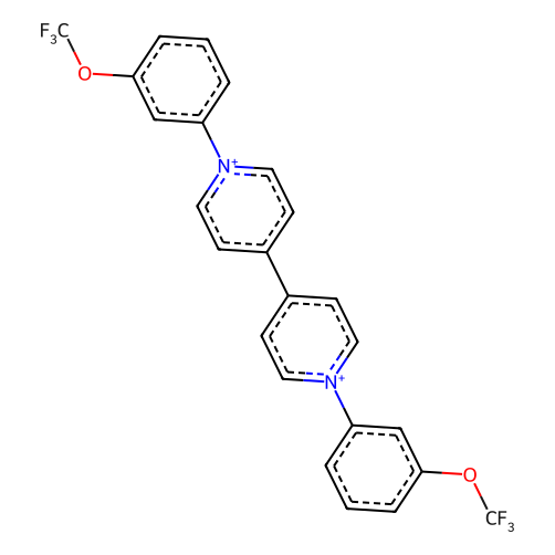 FC(F)(F)Oc1cccc(-[n+]2ccc(-c3cc[n+](-c4cccc(OC(F)(F)F)c4)cc3)cc2)c1